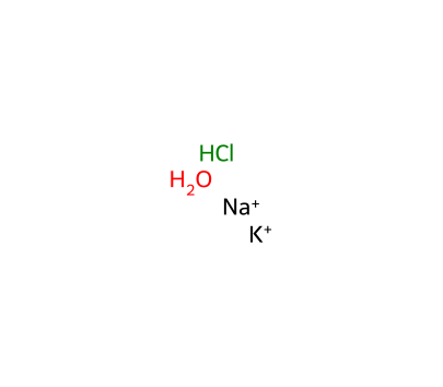 Cl.O.[K+].[Na+]